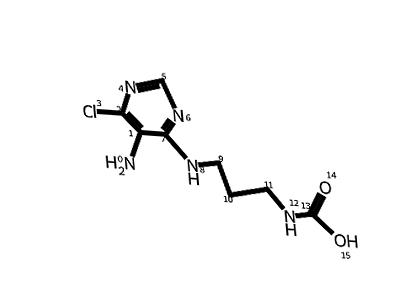 Nc1c(Cl)ncnc1NCCCNC(=O)O